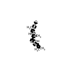 CC1CN(C2COC2)CCN1c1ccc(Nc2cc(-c3ccnc(N4CCn5c(cc6c5CC(C)(C)C6)C4)c3CO)cn(C)c2=O)nc1